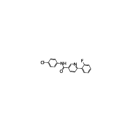 O=C(Nc1ccc(Cl)cc1)c1ccc(-c2ccccc2F)nc1